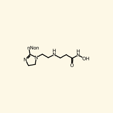 CCCCCCCCCC1=NCCN1CCNCCC(=O)NO